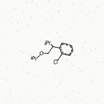 CC(C)OCC(c1ccccc1Cl)C(C)C